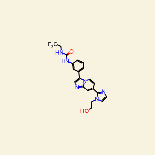 O=C(NCC(F)(F)F)Nc1cccc(-c2cnc3cc(-c4nccn4CCO)ccn23)c1